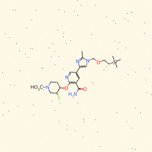 Cc1nc(-c2cnc(O[C@@H]3CCN(C(=O)O)C[C@@H]3F)c(C(N)=O)c2)cn1COCC[Si](C)(C)C